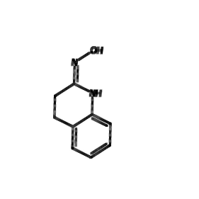 ON=C1CCc2ccccc2N1